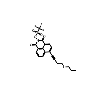 CCCOCCC#Cc1ccc2c3c(cccc13)C(=O)N(OS(=O)(=O)C(F)(F)F)C2=O